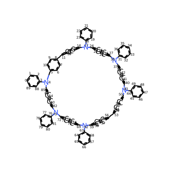 c1ccc(N2c3ccc(cc3)-c3ccc(cc3)N(c3ccccc3)c3ccc(cc3)N(c3ccccc3)c3ccc(cc3)N(c3ccccc3)c3ccc(cc3)-c3ccc(cc3)N(c3ccccc3)c3ccc(cc3)N(c3ccccc3)c3ccc2cc3)cc1